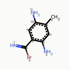 Cc1cc(N)c(C(=N)Br)cc1N